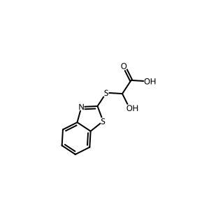 O=C(O)C(O)Sc1nc2ccccc2s1